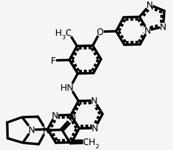 C=CC(=O)N1CC2CCC(C1)N2c1ccc2ncnc(Nc3ccc(Oc4ccn5ncnc5c4)c(C)c3F)c2n1